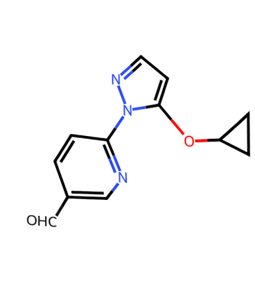 O=Cc1ccc(-n2nccc2OC2CC2)nc1